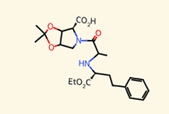 CCOC(=O)[C@H](CCc1ccccc1)NC(C)C(=O)N1CC2OC(C)(C)OC2[C@H]1C(=O)O